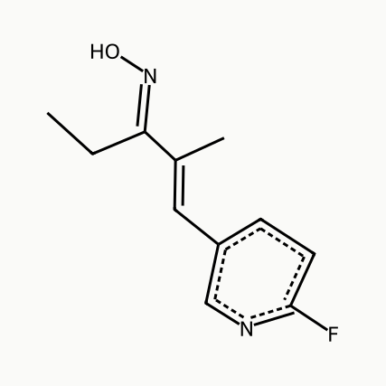 CCC(=N\O)/C(C)=C/c1ccc(F)nc1